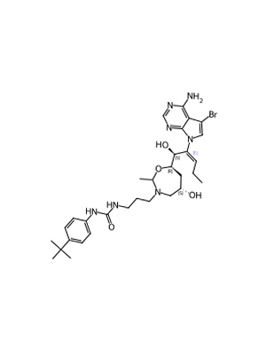 CC/C=C(\[C@H](O)[C@H]1C[C@H](O)CN(CCCNC(=O)Nc2ccc(C(C)(C)C)cc2)C(C)O1)n1cc(Br)c2c(N)ncnc21